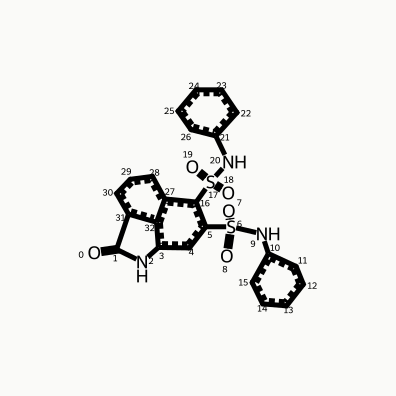 O=C1Nc2cc(S(=O)(=O)Nc3ccccc3)c(S(=O)(=O)Nc3ccccc3)c3cccc1c23